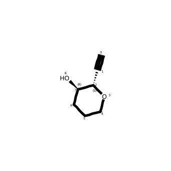 C#C[C@@H]1O[CH][CH][CH][C@H]1O